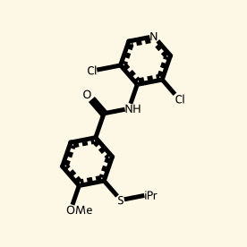 COc1ccc(C(=O)Nc2c(Cl)cncc2Cl)cc1SC(C)C